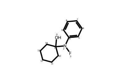 OC1(N(F)c2ccccc2)CCCCC1